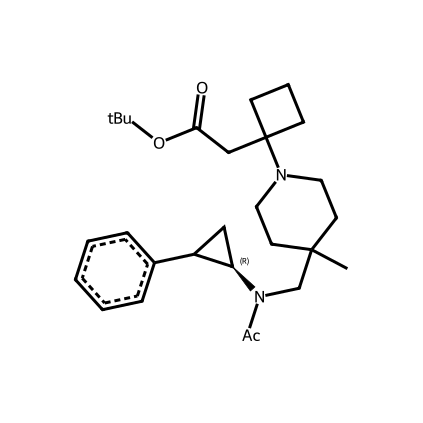 CC(=O)N(CC1(C)CCN(C2(CC(=O)OC(C)(C)C)CCC2)CC1)[C@@H]1CC1c1ccccc1